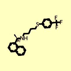 C[C@@H](NCCCCSc1ccc(C(F)(F)F)cc1)c1cccc2ccccc12